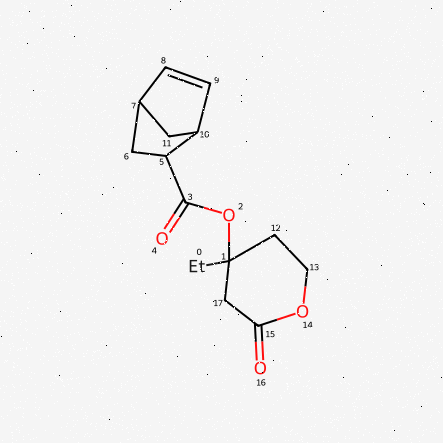 CCC1(OC(=O)C2CC3C=CC2C3)CCOC(=O)C1